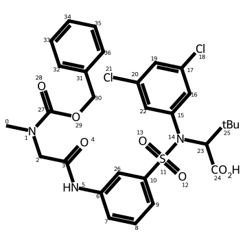 CN(CC(=O)Nc1cccc(S(=O)(=O)N(c2cc(Cl)cc(Cl)c2)C(C(=O)O)C(C)(C)C)c1)C(=O)OCc1ccccc1